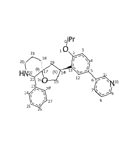 CC(C)Oc1ccc(-c2cccnc2)cc1[C@H]1CO[C@]2(CCCNC2c2ccccc2)C1